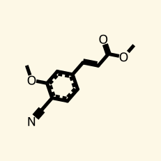 COC(=O)C=Cc1ccc(C#N)c(OC)c1